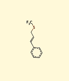 FC(F)(F)SCC=Cc1ccccc1